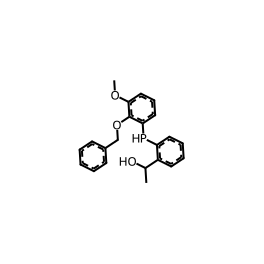 COc1cccc(Pc2ccccc2C(C)O)c1OCc1ccccc1